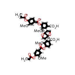 C=CC(=O)Oc1ccc(C(=O)Oc2ccc(C(=O)O)c([C@@H]3CO[C@H]4[C@@H]3OC[C@H]4c3c(C(=O)O)ccc(OC(=O)c4ccc(OC(=O)C=C)c(OC)c4)c3OC)c2OC)cc1OC